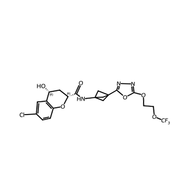 O=C(NC12CC(c3nnc(OCCOC(F)(F)F)o3)(C1)C2)[C@H]1C[C@@H](O)c2cc(Cl)ccc2O1